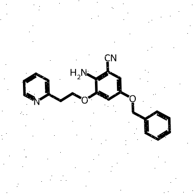 N#Cc1cc(OCc2ccccc2)cc(OCCc2ccccn2)c1N